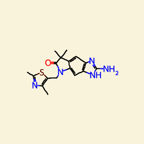 Cc1nc(C)c(CN2C(=O)C(C)(C)c3cc4nc(N)[nH]c4cc32)s1